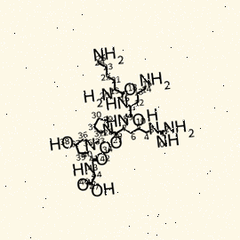 N=C(N)NCCC[C@H](NC(=O)[C@H](CCCN)NC(=O)[C@@H](N)CCCCN)C(=O)N1CCC[C@H]1C(=O)N1C[C@H](O)C[C@H]1C(=O)NCC(=O)O